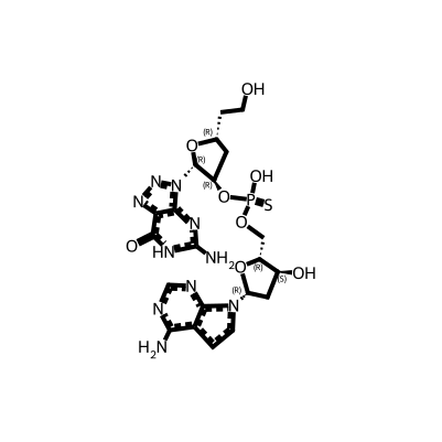 Nc1nc2c(nnn2[C@@H]2O[C@H](CCO)C[C@H]2OP(O)(=S)OC[C@H]2O[C@@H](n3ccc4c(N)ncnc43)C[C@@H]2O)c(=O)[nH]1